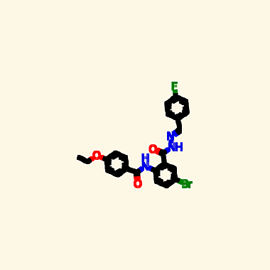 CCOc1ccc(C(=O)Nc2ccc(Br)cc2C(=O)N/N=C/c2ccc(F)cc2)cc1